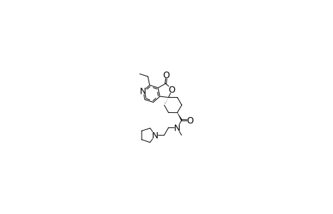 CCc1nccc2c1C(=O)O[C@]21CC[C@H](C(=O)N(C)CCN2CCCC2)CC1